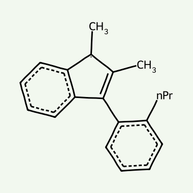 CCCc1ccccc1C1=C(C)[C](C)c2ccccc21